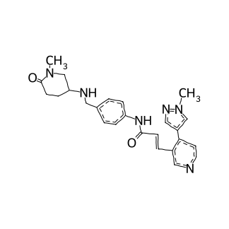 CN1CC(NCc2ccc(NC(=O)/C=C/c3cnccc3-c3cnn(C)c3)cc2)CCC1=O